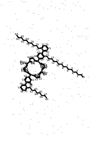 CCCCCCCCCCCCCCCCc1cc(-c2c3nc(c(Br)c4ccc([nH]4)c(-c4ccc(-c5ccccc5CCCCCCCC)c(C)c4)c4nc(c(Br)c5ccc2[nH]5)C=C4)C=C3)ccc1-c1ccccc1CCCCCCCCCC